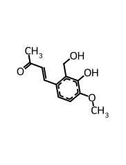 COc1ccc(/C=C/C(C)=O)c(CO)c1O